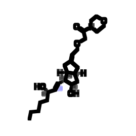 CCCCC[C@H](O)/C=C/[C@@H]1[C@H]2CC(=CCOCC(=O)N3CCOCC3)C[C@H]2C[C@H]1O